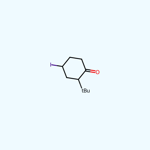 CC(C)(C)C1CC(I)CCC1=O